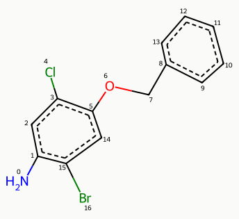 Nc1cc(Cl)c(OCc2ccccc2)cc1Br